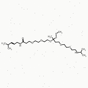 CSSC(C)(CCOCCOCCNC(C)C)OCCOCCOCCC(=O)NC/C=C/C(C)C